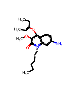 CC=C(CC)Oc1c(OC)c(=O)n(CCCCCC)c2cc(N)ccc12